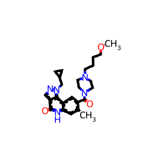 COCCCCN1CCN(C(=O)c2cc3c(cc2C)[nH]c(=O)c2cnn(CC4CC4)c23)CC1